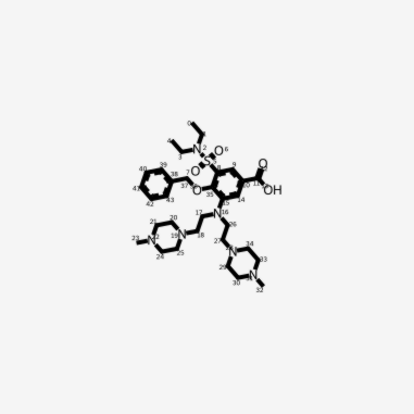 CCN(CC)S(=O)(=O)c1cc(C(=O)O)cc(N(CCN2CCN(C)CC2)CCN2CCN(C)CC2)c1OCc1ccccc1